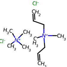 C=CC[N+](C)(C)CC=C.C[N+](C)(C)C.[Cl-].[Cl-]